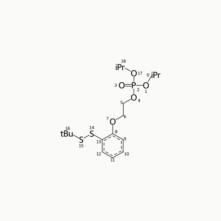 CC(C)OP(=O)(OCCOc1ccccc1SSC(C)(C)C)OC(C)C